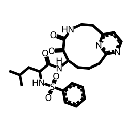 CC(C)CC(NS(=O)(=O)c1ccccc1)C(=O)NC1CCCc2nccc(n2)CCNC(=O)C1=O